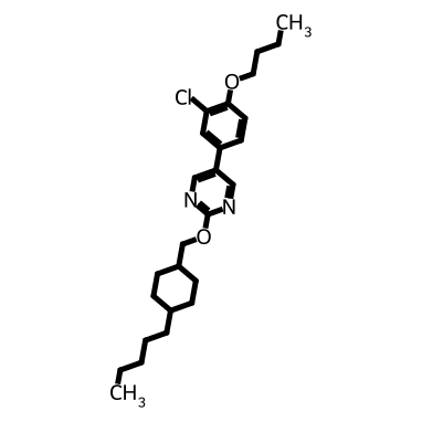 CCCCCC1CCC(COc2ncc(-c3ccc(OCCCC)c(Cl)c3)cn2)CC1